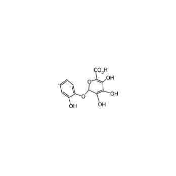 O=C(O)C1=C(O)C(O)=C(O)C(Oc2cc[c]cc2O)O1